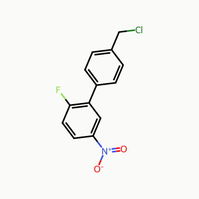 O=[N+]([O-])c1ccc(F)c(-c2ccc(CCl)cc2)c1